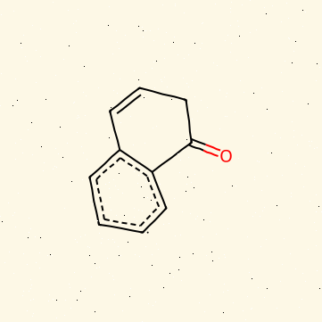 O=C1CC=Cc2cc[c]cc21